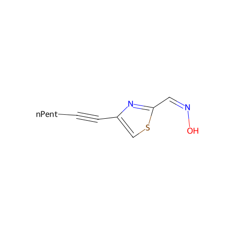 CCCCCC#Cc1csc(/C=N\O)n1